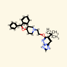 CC(C)(C)c1cc2ncnn2nc1OCCN1CCC(OC(c2ccccc2)c2ccccc2)CC1